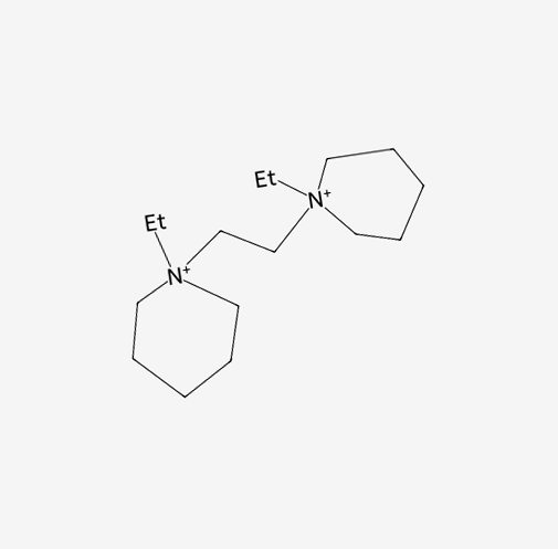 CC[N+]1(CC[N+]2(CC)CCCCC2)CCCCC1